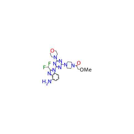 COCC(=O)N1CCN(c2nc(N3CCOCC3)nc(-n3c(C(F)F)nc4c(N)cccc43)n2)CC1